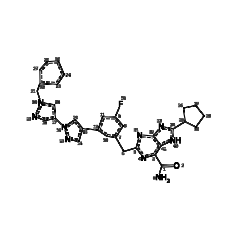 NC(=O)c1nc(Cc2cc(F)cc(-c3cnn(-c4cnn(Cc5ccccc5)c4)c3)c2)nc2nc(C3CCCC3)[nH]c12